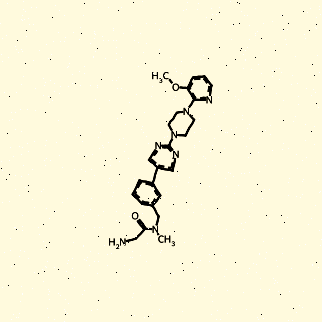 COc1cccnc1N1CCN(c2ncc(-c3cccc(CN(C)C(=O)CN)c3)cn2)CC1